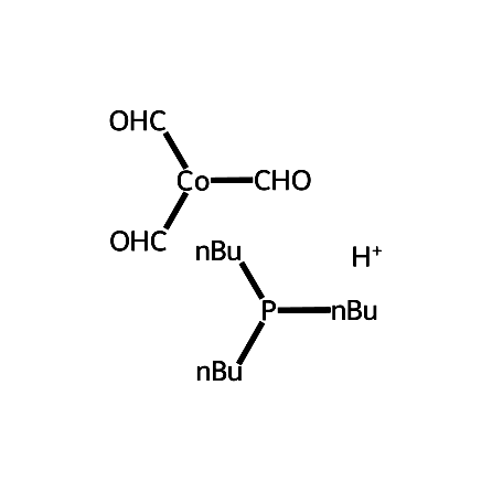 CCCCP(CCCC)CCCC.O=[CH][Co]([CH]=O)[CH]=O.[H+]